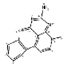 Cn1ncc(-c2ccccc2)c2c(=O)nc(N)nc1-2